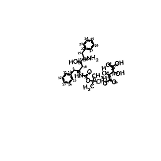 CC(C)(C)OC(=O)N[C@@H](Cc1ccccc1)C[C@H](O)[C@@H](N)Cc1ccccc1.O=C(O)C(O)C(O)C(=O)O